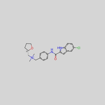 C[N+](C)(Cc1ccc(NC(=O)c2cc3cc(Cl)ccc3[nH]2)cc1)C[C@@H]1CCCO1